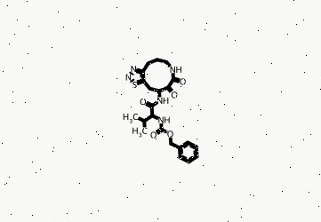 CC(C)C(NC(=O)OCc1ccccc1)C(=O)NC1Cc2snnc2CCCNC(=O)C1=O